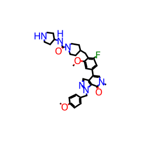 COc1ccc(Cn2ncc3c(-c4cc(F)c(CC5CCN(C(=O)NC6CCNCC6)CC5)c(OC)c4)cn(C)c(=O)c32)cc1